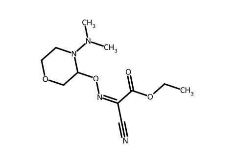 CCOC(=O)C(C#N)=NOC1COCCN1N(C)C